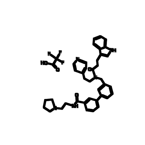 O=C(NCCN1CCCC1)c1cccc(-c2cccc(CN(CCc3ccncc3)C(=O)CCc3c[nH]c4ccccc34)c2)c1.O=C(O)C(F)(F)F